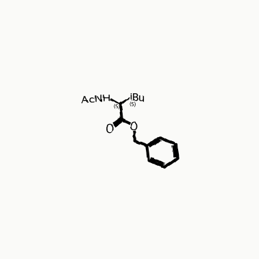 CC[C@H](C)[C@H](NC(C)=O)C(=O)OCc1ccccc1